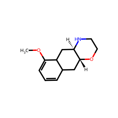 COC1=CC=CC2C[C@H]3OCCN[C@@H]3CC12